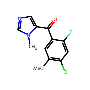 COc1cc(C(=O)c2cncn2C)c(F)cc1Cl